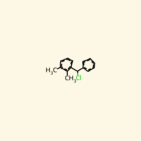 Cc1cccc(C(Cl)c2ccccc2)c1C